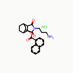 Cl.NCCCN1C(=O)C2C3CCC(C(OC(=O)c4cccc5ccccc45)C3)C2C1=O